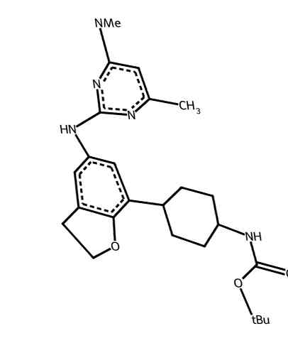 CNc1cc(C)nc(Nc2cc3c(c(C4CCC(NC(=O)OC(C)(C)C)CC4)c2)OCC3)n1